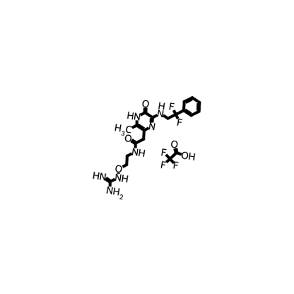 Cc1[nH]c(=O)c(NCC(F)(F)c2ccccc2)nc1CC(=O)NCCONC(=N)N.O=C(O)C(F)(F)F